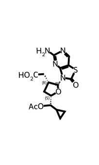 CC(=O)OC(C1CC1)[C@@H]1C[C@H](CC(=O)O)[C@H](n2c(=O)sc3cnc(N)nc32)O1